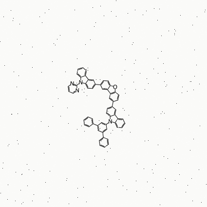 c1ccc(-c2cc(-c3ccccc3)cc(-n3c4ccccc4c4cc(-c5ccc6oc7ccc(-c8ccc9c(c8)c8ccccc8n9-c8ncccn8)cc7c6c5)ccc43)c2)cc1